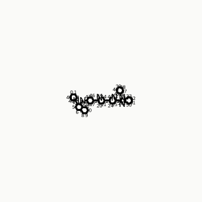 c1ccc(-c2ccc3ccccc3c2Nc2ccc(-c3ccc(-c4ccc(-c5nc6ccccc6n5-c5ccccc5)nc4)cn3)cc2)cc1